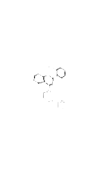 CCCC(NC(=O)O)[C@H]1CCCN(c2nc(-c3ccccc3O)nc3cc(C)ccc23)C1